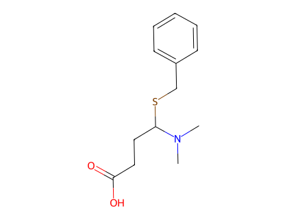 CN(C)C(CCC(=O)O)SCc1ccccc1